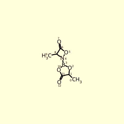 CC1OB(N2OC(=O)C2C)OC1=O